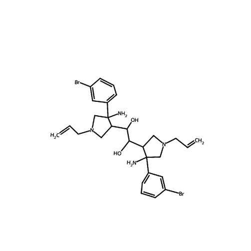 C=CCN1CC(C(O)C(O)C2CN(CC=C)CC2(N)c2cccc(Br)c2)C(N)(c2cccc(Br)c2)C1